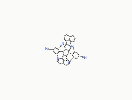 N#Cc1cc(C#N)c(-c2c3cc4c(cc3c(-c3c(C#N)cc(C#N)cc3C#N)c3c5cccc6cccc(c23)c65)c2cccc3cccc4c32)c(C#N)c1